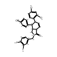 O=C1C2C=CC(c3ccc(Cl)cc3Cl)C(c3ccc(Cl)cc3)C2CN1Cc1ccc(F)c(F)c1